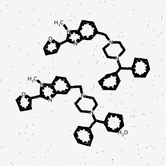 Cn1c(-c2ccco2)nc2cc(CN3CCN(C(c4ccccc4)c4ccccc4)CC3)ccc21.Cn1c(-c2ccco2)nc2cc(CN3CCN(C(c4ccccc4)c4ccccc4)CC3)ccc21.O